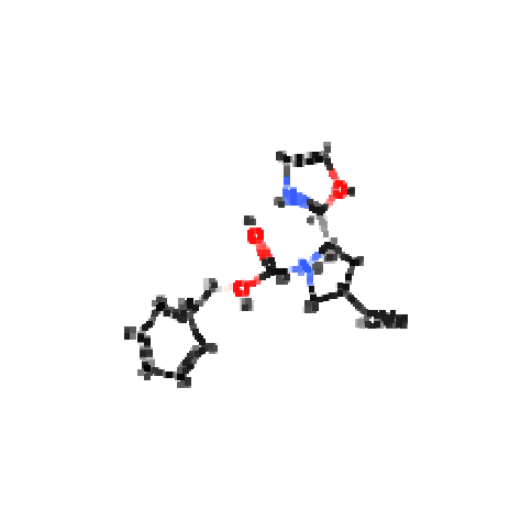 COC1C[C@@H](c2ncco2)N(C(=O)OCc2ccccc2)C1